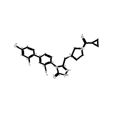 O=C(C1CC1)N1CC[C@@H](Cc2n[nH]c(=O)n2-c2ccc(-c3ccc(Cl)cc3F)cc2F)C1